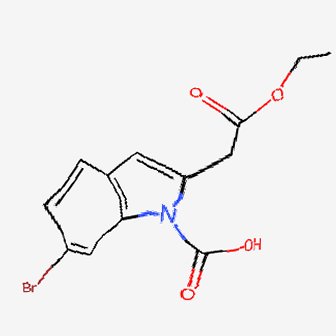 CCOC(=O)Cc1cc2ccc(Br)cc2n1C(=O)O